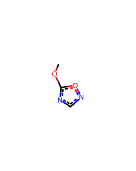 COc1ncno1